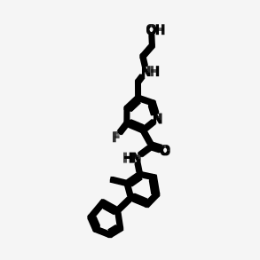 Cc1c(NC(=O)c2ncc(CNCCO)cc2F)cccc1-c1ccccc1